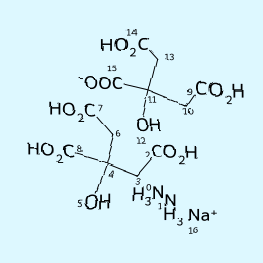 N.N.O=C(O)CC(O)(CC(=O)O)C(=O)O.O=C(O)CC(O)(CC(=O)O)C(=O)[O-].[Na+]